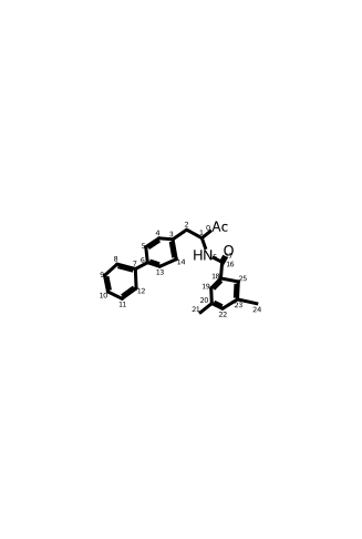 CC(=O)C(Cc1ccc(-c2ccccc2)cc1)NC(=O)c1cc(C)cc(C)c1